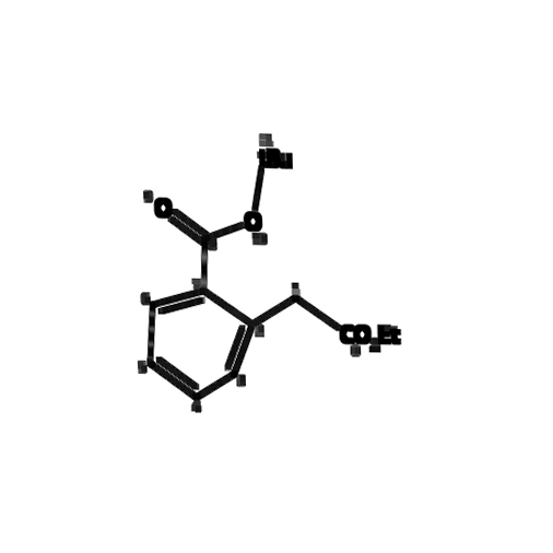 CCOC(=O)Cc1ccccc1C(=O)OC(C)(C)C